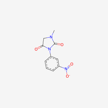 CN1CC(=O)N(c2cccc([N+](=O)[O-])c2)C1=O